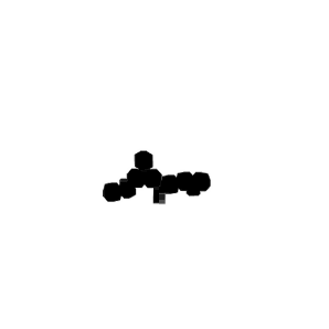 CC1(C)c2ccccc2-c2ccc(-c3ccc(Nc4ccc5c(c4)c4cc(-c6ccc(-c7ccccc7)s6)ccc4n5-c4ccccc4)cc3)cc21